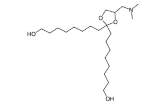 CN(C)CC1COC(CCCCCCCCO)(CCCCCCCCO)O1